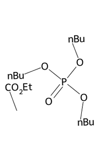 CCCCOP(=O)(OCCCC)OCCCC.CCOC(C)=O